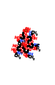 CC(=O)NC1C(O)OC(COS(=O)(=O)O)C(OC2OC(CO)C(OC3OC(CO)C(OC4OC(CO)C(OC5OC(CO)C(O)C(O)C5NC(C)=O)C(O)C4NC(C)=O)C(O)C3NC(C)=O)C(O)C2NC(C)=O)C1O